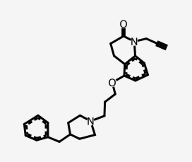 C#CCN1C(=O)CCc2c(OCCCN3CCC(Cc4ccccc4)CC3)cccc21